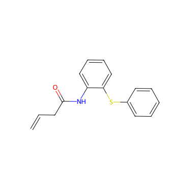 C=CCC(=O)Nc1ccccc1Sc1ccccc1